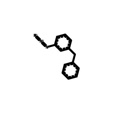 [N-]=[N+]=Nc1cccc(Cc2ccccc2)c1